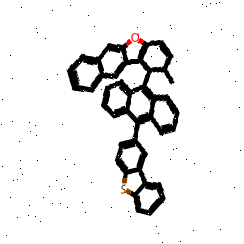 CC1C=Cc2oc3cc4ccccc4cc3c2C1c1c2ccccc2c(-c2ccc3sc4ccccc4c3c2)c2ccccc12